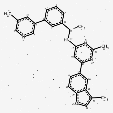 Cc1cncc(-c2cccc([C@H](C)Nc3cc(-c4ccc5occ(C)c5c4)nc(C)n3)c2)c1